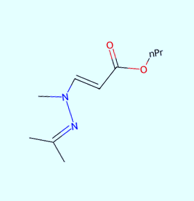 CCCOC(=O)/C=C/N(C)N=C(C)C